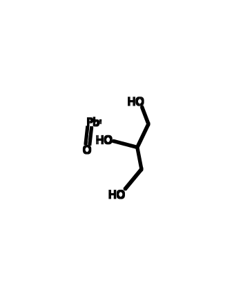 OCC(O)CO.[O]=[Pb]